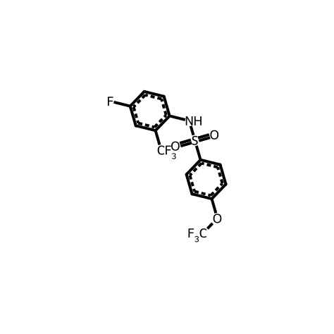 O=S(=O)(Nc1ccc(F)cc1C(F)(F)F)c1ccc(OC(F)(F)F)cc1